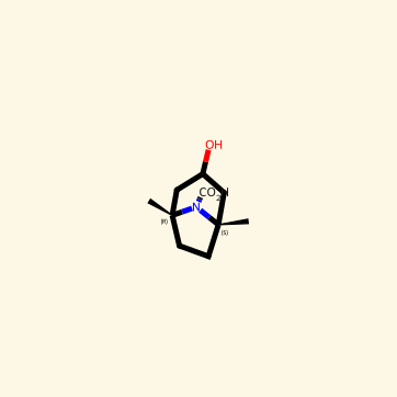 C[C@]12CC[C@](C)(CC(O)C1)N2C(=O)O